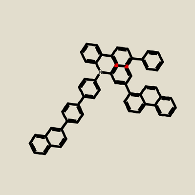 c1ccc(-c2ccc(-c3ccccc3N(c3ccc(-c4ccc(-c5ccc6ccccc6c5)cc4)cc3)c3cccc(-c4cccc5c4ccc4ccccc45)c3)cc2)cc1